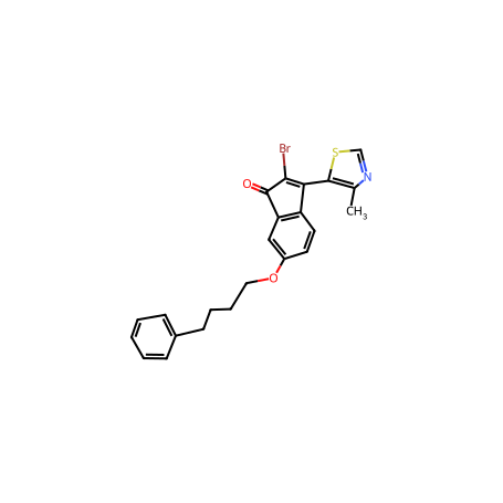 Cc1ncsc1C1=C(Br)C(=O)c2cc(OCCCCc3ccccc3)ccc21